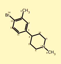 Cc1cc(C2CCN(C)CC2)ccc1Br